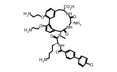 CN(C(=O)[C@H](CCCCN)NC(=O)c1ccc(-c2ccc(Cl)cc2)cc1)[C@@H]1C(=O)N[C@@H](N)C(=O)N[C@H](C(=O)O)Cc2ccc(OCCN)c(c2)-c2cc1ccc2OCCN